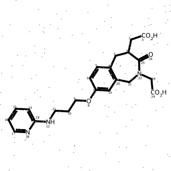 O=C(O)CC1Cc2ccc(OCCCNc3ccccn3)cc2CN(CC(=O)O)C1=O